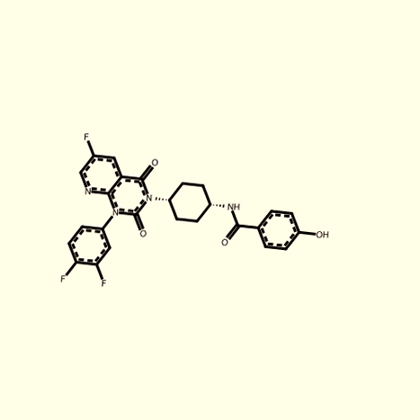 O=C(N[C@H]1CC[C@@H](n2c(=O)c3cc(F)cnc3n(-c3ccc(F)c(F)c3)c2=O)CC1)c1ccc(O)cc1